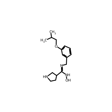 CC(C)COc1cccc(CN=C(NO)C2CCNC2)c1